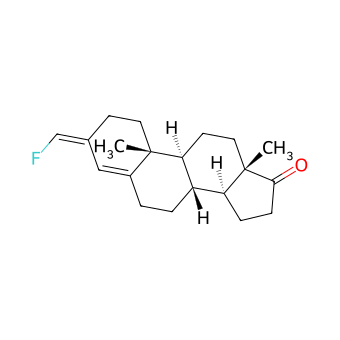 C[C@]12CC/C(=C/F)C=C1CC[C@@H]1[C@@H]2CC[C@]2(C)C(=O)CC[C@@H]12